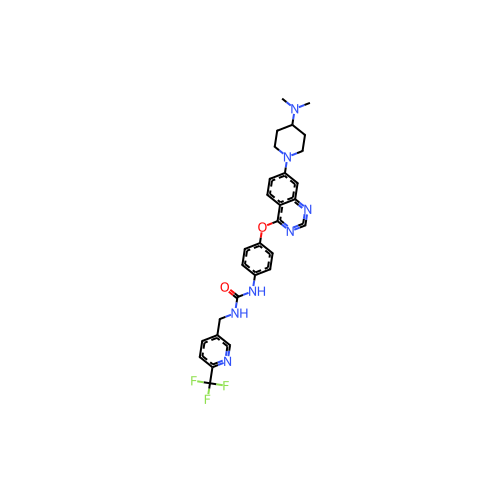 CN(C)C1CCN(c2ccc3c(Oc4ccc(NC(=O)NCc5ccc(C(F)(F)F)nc5)cc4)ncnc3c2)CC1